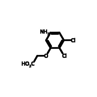 N.O=C(O)COc1cccc(Cl)c1Cl